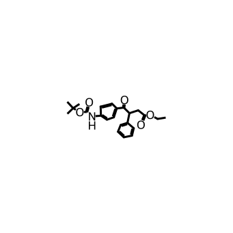 CCOC(=O)CC(C(=O)c1ccc(NC(=O)OC(C)(C)C)cc1)c1ccccc1